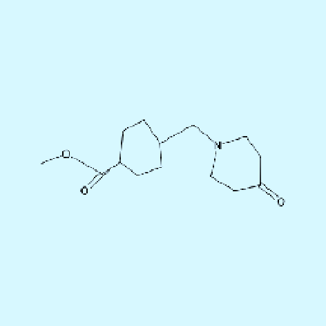 COC(=O)C1CCC(CN2CCC(=O)CC2)CC1